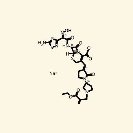 C=C(CN1CC[C@@H](N2CC/C(=C\C3=C(C(=O)[O-])N4C(=O)[C@@H](NC(=O)/C(=N\O)c5nsc(N)n5)[C@H]4SC3)C2=O)C1)C(=O)OCC.[Na+]